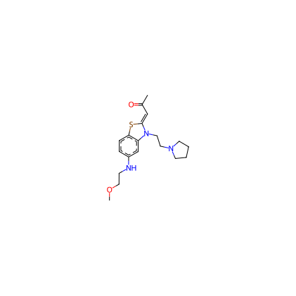 COCCNc1ccc2c(c1)N(CCN1CCCC1)/C(=C/C(C)=O)S2